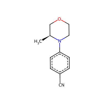 C[C@H]1COCCN1c1ccc(C#N)cc1